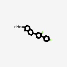 CCCCCCC1CCC2CC(c3ccc(-c4ccc(F)cc4)c(F)c3)CCC2C1